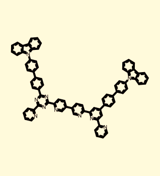 c1ccc(-c2cc(-c3ccc(-c4ccc(-n5c6ccccc6c6ccccc65)cc4)cc3)cc(-c3ccc(-c4ccc(-c5nc(-c6ccc(-c7ccc(-n8c9ccccc9c9ccccc98)cc7)cc6)nc(-c6ccccn6)n5)nc4)cn3)n2)nc1